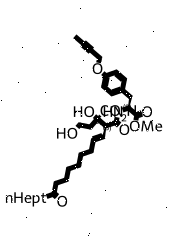 CC#CCOc1ccc(C[C@H](NC(=O)[C@@H](C=CCCCCCCC(=O)CCCCCCC)[C@@](O)(CCO)C(=O)O)C(=O)OC)cc1